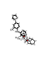 Cc1c(Nc2ccc(-n3cncn3)cc2Cl)ncnc1OC1CC2CCC(C1)N2C(=O)OC1(C)CC1